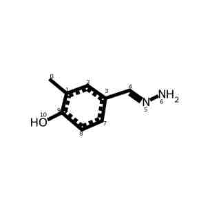 Cc1cc(C=NN)ccc1O